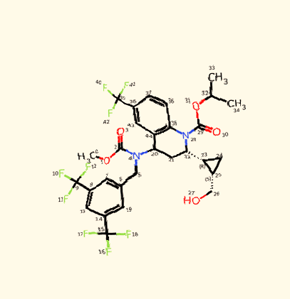 COC(=O)N(Cc1cc(C(F)(F)F)cc(C(F)(F)F)c1)C1CC([C@@H]2C[C@@H]2CO)N(C(=O)OC(C)C)c2ccc(C(F)(F)F)cc21